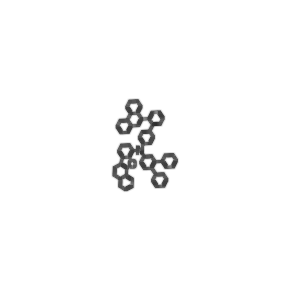 c1ccc(-c2ccc(N(c3ccc(-c4ccccc4-c4cc5ccccc5c5ccccc45)cc3)c3cccc4c3oc3c5ccccc5ccc43)cc2-c2ccccc2)cc1